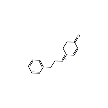 O=C1C=C/C(=C/CCc2ccccc2)CC1